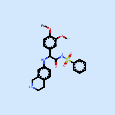 CCOc1cc(C(Nc2ccc3c(c2)CNCC3)C(=O)NS(=O)(=O)c2ccccc2)ccc1OC(C)C